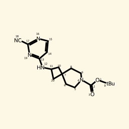 CC(C)(C)OC(=O)N1CCC2(CC1)CC(Nc1ccnc(C#N)n1)C2